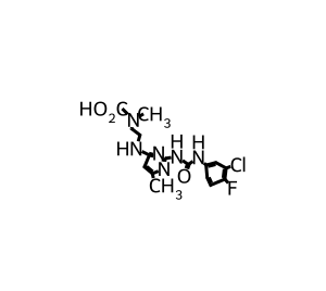 Cc1cc(NCCN(C)C(=O)O)nc(NC(=O)Nc2ccc(F)c(Cl)c2)n1